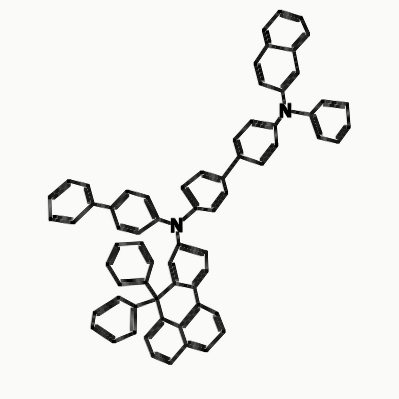 c1ccc(-c2ccc(N(c3ccc(-c4ccc(N(c5ccccc5)c5ccc6ccccc6c5)cc4)cc3)c3ccc4c(c3)C(c3ccccc3)(c3ccccc3)c3cccc5cccc-4c35)cc2)cc1